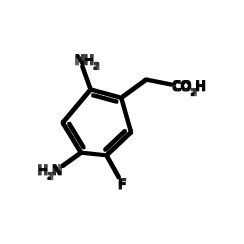 Nc1cc(N)c(CC(=O)O)cc1F